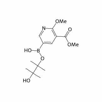 COC(=O)c1cc(B(O)OC(C)(C)C(C)(C)O)cnc1OC